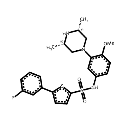 COc1ccc(NS(=O)(=O)c2ccc(-c3cccc(F)c3)s2)cc1N1C[C@@H](C)N[C@@H](C)C1